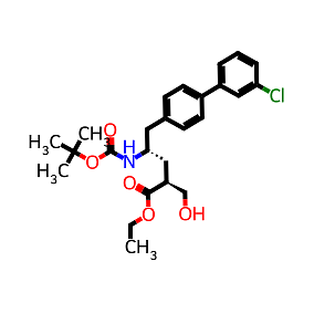 CCOC(=O)[C@H](CO)C[C@@H](Cc1ccc(-c2cccc(Cl)c2)cc1)NC(=O)OC(C)(C)C